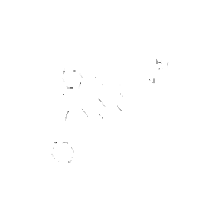 CN1C(CCc2ccccc2)=C(C(=O)O)C(c2c(Cl)cccc2Cl)C(C(=O)O)=C1C(=O)NCCNC1CC2CCC(C1)N2C